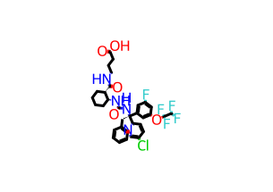 O=C(O)CCCNC(=O)[C@H]1CCCC[C@H]1NC(=O)N[C@@](Cc1ccccc1)(c1cc(F)cc(OC(F)(F)C(F)F)c1)c1ccc(Cl)cn1